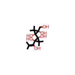 CC(C)=C(O)[C@@]1(O)C(C)(C)[C@@]1(O)[C@]1(O)C(C)(C)[C@]1(O)CO